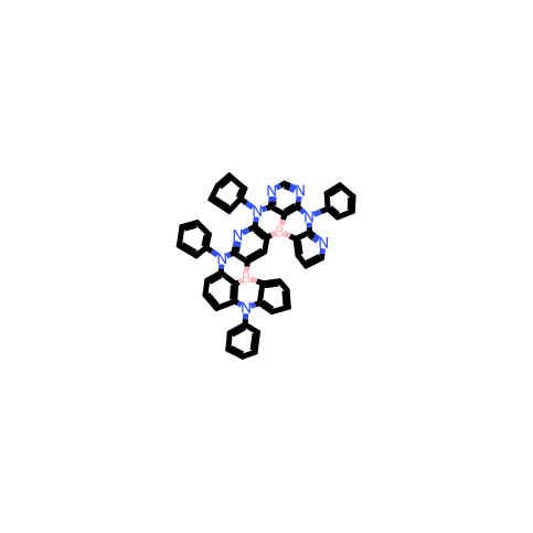 c1ccc(N2c3ccccc3B3c4cc5c(nc4N(c4ccccc4)c4cccc2c43)N(c2ccccc2)c2ncnc3c2B5c2cccnc2N3c2ccccc2)cc1